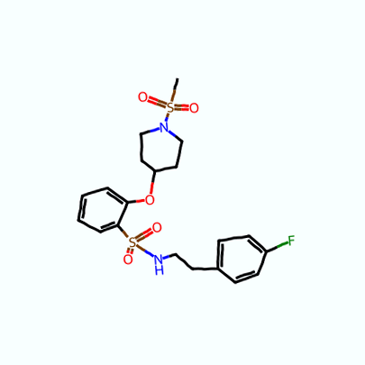 CS(=O)(=O)N1CCC(Oc2ccccc2S(=O)(=O)NCCc2ccc(F)cc2)CC1